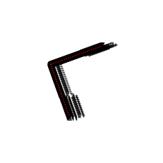 [O-2].[O-2].[O-2].[O-2].[O-2].[O-2].[O-2].[O-2].[O-2].[O-2].[O-2].[O-2].[O-2].[O-2].[O-2].[O-2].[O-2].[O-2].[O-2].[O-2].[O-2].[O-2].[O-2].[O-2].[O-2].[O-2].[O-2].[O-2].[O-2].[O-2].[O-2].[O-2].[O-2].[O-2].[O-2].[O-2].[O-2].[O-2].[O-2].[O-2].[O-2].[O-2].[O-2].[O-2].[O-2].[O-2].[O-2].[O-2].[O-2].[O-2].[O-2].[O-2].[O-2].[O-2].[O-2].[O-2].[O-2].[O-2].[O-2].[O-2].[Zn+2].[Zn+2].[Zn+2].[Zn+2].[Zn+2].[Zn+2].[Zn+2].[Zn+2].[Zn+2].[Zn+2].[Zn+2].[Zn+2].[Zn+2].[Zn+2].[Zn+2].[Zn+2].[Zn+2].[Zn+2].[Zn+2].[Zn+2].[Zn+2].[Zn+2].[Zn+2].[Zn+2].[Zn+2].[Zn+2].[Zn+2].[Zn+2].[Zn+2].[Zn+2].[Zn+2].[Zn+2].[Zn+2].[Zn+2].[Zn+2].[Zn+2].[Zn+2].[Zn+2].[Zn+2].[Zn+2]